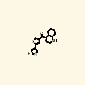 O=C(C1C=C(c2cn[nH]c2)SC1)N1CCNC2CCCCC21